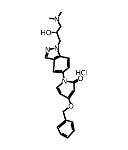 CN(C)C[C@H](O)Cn1ncc2cc(-n3ccc(OCc4ccccc4)cc3=O)ccc21.Cl